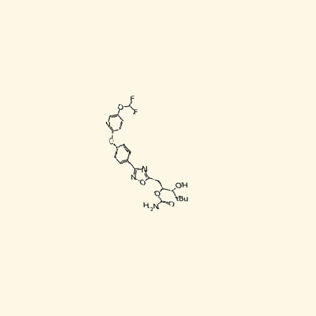 CC(C)(C)C(O)[C@H](Cc1nc(-c2ccc(Oc3ccc(OC(F)F)cn3)cc2)no1)OC(N)=O